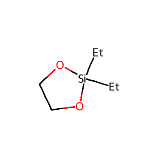 CC[Si]1(CC)OCCO1